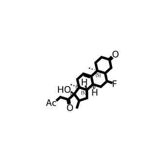 CC(=O)CC(=O)[C@@]1(O)C(C)C[C@H]2[C@@H]3CC(F)C4CC(=O)CC[C@]4(C)C3=CC[C@@]21C